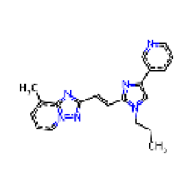 CCCn1cc(-c2cccnc2)nc1C=Cc1nc2c(C)cccn2n1